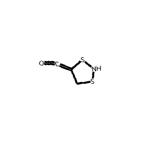 O=C=C1CSNS1